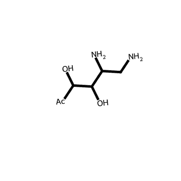 CC(=O)C(O)C(O)C(N)CN